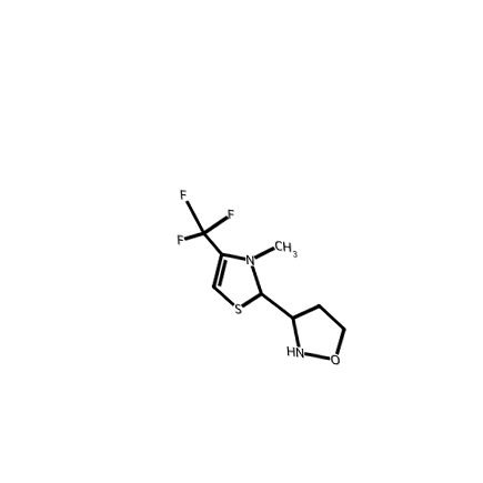 CN1C(C(F)(F)F)=CSC1C1CCON1